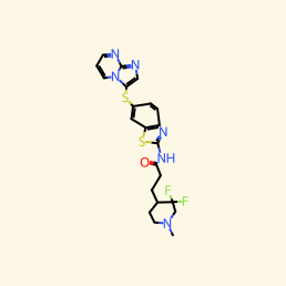 CN1CCC(CCC(=O)Nc2nc3ccc(Sc4cnc5ncccn45)cc3s2)C(F)(F)C1